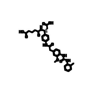 COc1cc(CC(=O)Nc2ccc([C@@H](CC(=O)O)NC(=O)CCCC(=O)O)cc2)ccc1NC(=O)Nc1ccccc1C